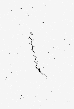 CC#CCCCCCCCCCCCO